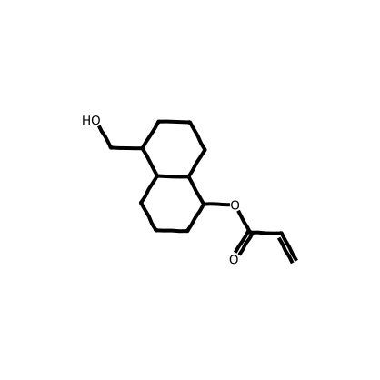 C=CC(=O)OC1CCCC2C(CO)CCCC12